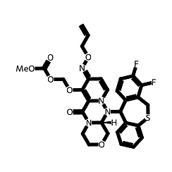 C=CCO/N=c1\ccn2c(c1OCOC(=O)OC)C(=O)N1CCOC[C@H]1N2C1c2ccccc2SCc2c1ccc(F)c2F